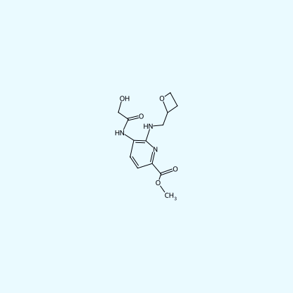 COC(=O)c1ccc(NC(=O)CO)c(NCC2CCO2)n1